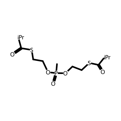 CC(C)C(=O)SCCOP(C)(=O)OCCSC(=O)C(C)C